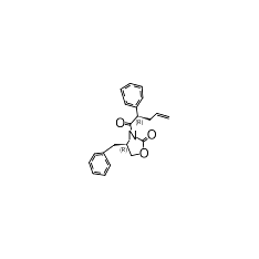 C=CC[C@@H](C(=O)N1C(=O)OC[C@H]1Cc1ccccc1)c1ccccc1